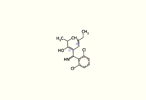 CC/C=C/C(C(=N)c1c(Cl)cccc1Cl)=C(/O)C(C)C